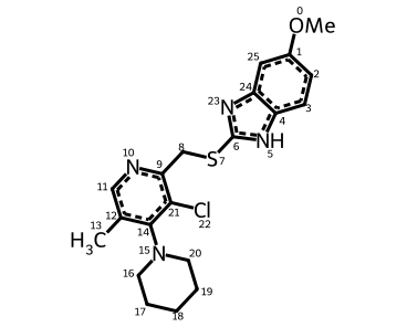 COc1ccc2[nH]c(SCc3ncc(C)c(N4CCCCC4)c3Cl)nc2c1